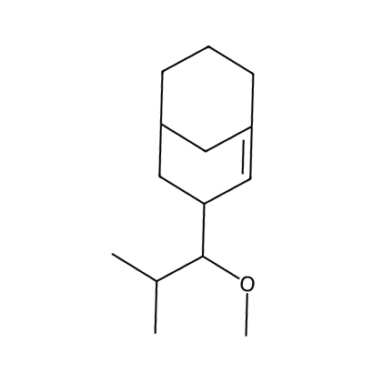 COC(C(C)C)C1C=C2CCCC(C2)C1